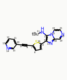 CC(C)(C)Nc1c(-c2ccc(C#Cc3cccnc3)s2)nc2cnccn12